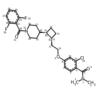 CN(C)C(=O)c1ccc(OCC[C@@H]2CC[C@@H]2C2CCN(C(=O)c3c(F)cccc3F)CC2)cc1Cl